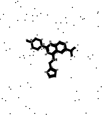 CC(C)c1cc2c(NCc3cccs3)nc(N3CCN(C)CC3)nc2cn1